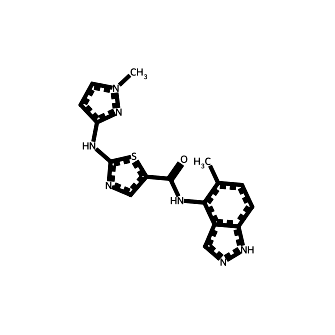 Cc1ccc2[nH]ncc2c1NC(=O)c1cnc(Nc2ccn(C)n2)s1